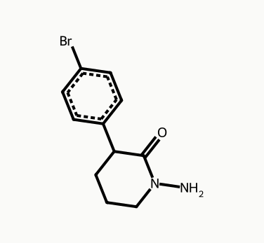 NN1CCCC(c2ccc(Br)cc2)C1=O